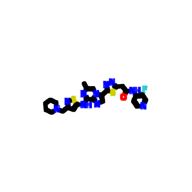 Cc1cn2c(-c3nnc(CC(=O)Nc4ccncc4F)s3)cnc2c(Nc2cc(CN3CCCCC3)ns2)n1